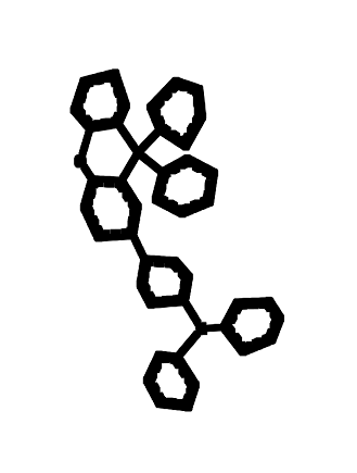 c1ccc(N(c2ccccc2)c2ccc(-c3ccc4c(c3)C(c3ccccc3)(c3ccccc3)c3ccccc3O4)cc2)cc1